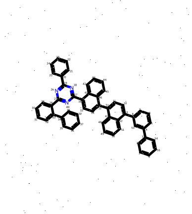 c1ccc(-c2cccc(-c3ccc(-c4ccc(-c5nc(-c6ccccc6)nc(-c6ccccc6-c6ccccc6)n5)c5ccccc45)c4ccccc34)c2)cc1